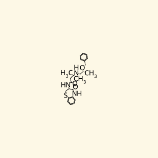 C[C@H](CNC(C)(C)CC(=O)N[C@@H]1CSc2ccccc2NC1=O)OCc1ccccc1